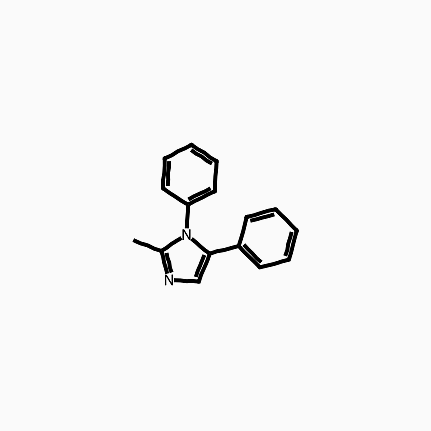 Cc1ncc(-c2ccccc2)n1-c1ccccc1